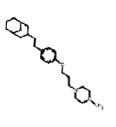 CN1CCN(CCCOc2ccc(CCC3CC4CCCC(C4)C3)cc2)CC1